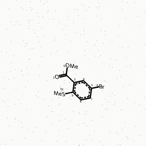 COC(=O)c1cc(Br)ccc1SC